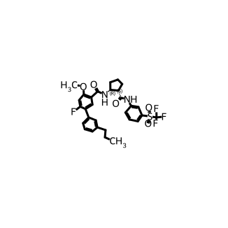 CCCc1cccc(-c2cc(C(=O)N[C@@H]3CCC[C@@H]3C(=O)Nc3cccc(S(=O)(=O)C(F)(F)F)c3)c(OC)cc2F)c1